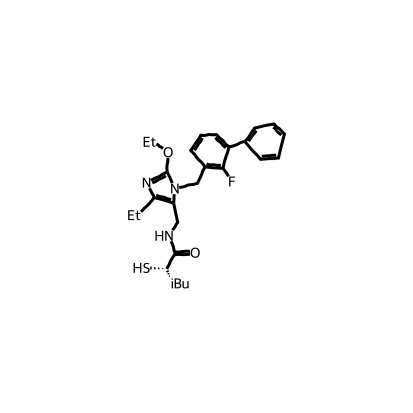 CCOc1nc(CC)c(CNC(=O)[C@@H](S)[C@@H](C)CC)n1Cc1cccc(-c2ccccc2)c1F